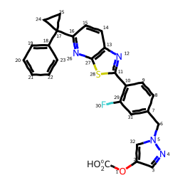 O=C(O)Oc1cnn(Cc2ccc(-c3nc4ccc(C5(c6ccccc6)CC5)nc4s3)c(F)c2)c1